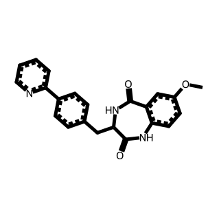 COc1ccc2c(c1)C(=O)NC(Cc1ccc(-c3ccccn3)cc1)C(=O)N2